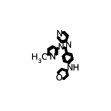 Cc1ccc(-n2c(-c3ccc(NC4CCOCC4)cc3)nc3ccncc32)cn1